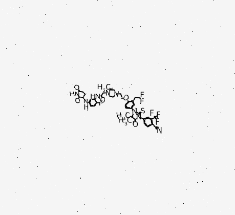 C[C@@H]1CN(CCOc2ccc(N3C(=S)N(c4ccc(C#N)c(C(F)(F)F)c4)C(=O)C3(C)C)cc2CC(F)F)CCN1CC(=O)Nc1cc(NC2CCC(=O)NC2=O)ccc1F